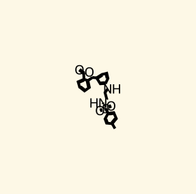 Cc1ccc(S(=O)(=O)NCCNc2cccc(C3OC(=O)c4ccccc43)c2)cc1